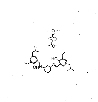 CC(=O)[O-].CC(=O)[O-].CCc1cc(CC(C)C)cc(C=NC2CCCC(N=Cc3cc(CC(C)C)cc(CC)c3O)C2)c1O.[Co+2]